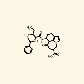 CCC(C)C(NC(=O)c1ccccn1)C(=O)N[C@H]1CCc2ccn3c2C1C(=O)C[C@H](C(=O)O)C3